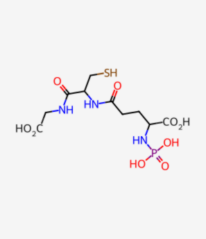 O=C(O)CNC(=O)C(CS)NC(=O)CCC(NP(=O)(O)O)C(=O)O